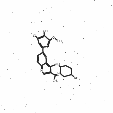 COc1cc(-c2ccc3ncc(C(C)=O)c(NC4CCC(N)CC4)c3c2)cc(Cl)c1O